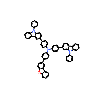 c1ccc(-n2c3ccccc3c3cc(-c4ccc(N(c5ccc(-c6ccc7oc8ccccc8c7c6)cc5)c5ccc(-c6ccc7c8ccccc8n(-c8ccccc8)c7c6)cc5)cc4)ccc32)cc1